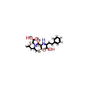 CC(=S)CC1CSCC(NC(CCc2ccccc2)C(=O)O)C(=O)N1CC(=O)O